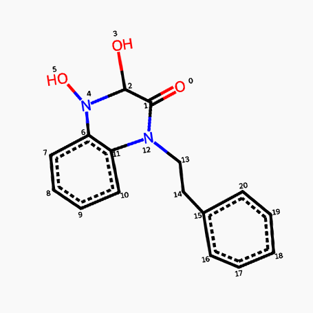 O=C1C(O)N(O)c2ccccc2N1CCc1ccccc1